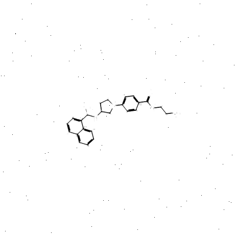 C[C@@H](NC1CCN(c2ccc(C(=O)NCCO)cc2)C1)c1cccc2ccccc12